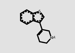 C1=C(c2csc3ccccc23)CNCC1